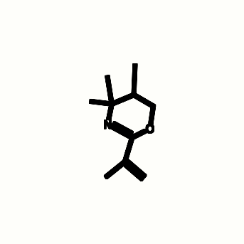 C=C(C)C1=NC(C)(C)C(C)CO1